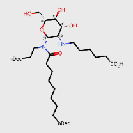 CCCCCCCCCCCCCCCCCC(=O)N(CCCCCCCCCCCC)[C@@H]1O[C@H](CO)[C@@H](O)[C@H](O)[C@@H]1NCCCCCC(=O)O